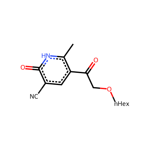 CCCCCCOCC(=O)c1cc(C#N)c(=O)[nH]c1C